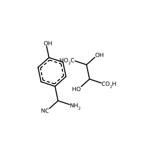 N#CC(N)c1ccc(O)cc1.O=C(O)C(O)C(O)C(=O)O